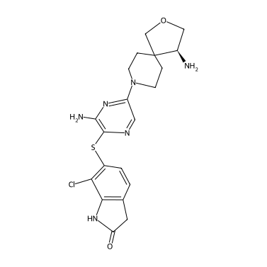 Nc1nc(N2CCC3(CC2)COC[C@H]3N)cnc1Sc1ccc2c(c1Cl)NC(=O)C2